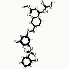 COC(=O)/N=C(/NC(=O)OC)N1CCC(COc2cc(C)cc(OS(=O)(=O)c3ccccc3Cl)c2)CC1